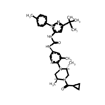 Cc1ccc(-n2nc(C(C)(C)C)cc2NC(=O)Nc2cnc(N3C[C@H](C)N(C(=O)C4CC4)C[C@H]3C)c(C)c2)cc1